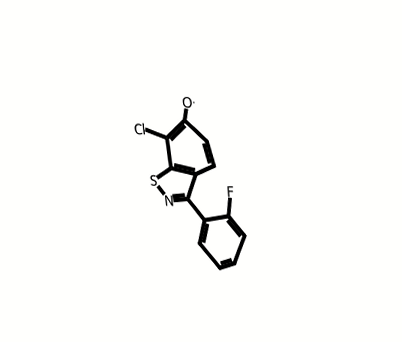 [O]c1ccc2c(-c3ccccc3F)nsc2c1Cl